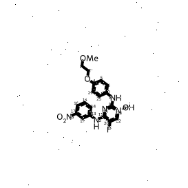 COCCOc1ccc(Nc2nc(Nc3cccc([N+](=O)[O-])c3)c(F)c[n+]2O)cc1